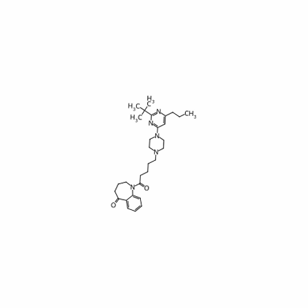 CCCc1cc(N2CCN(CCCCC(=O)N3CCCC(=O)c4ccccc43)CC2)nc(C(C)(C)C)n1